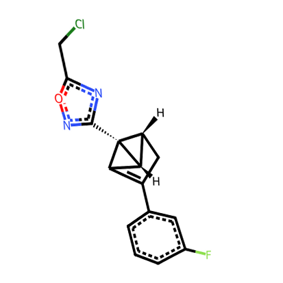 Fc1cccc(C2=C3[C@H]4[C@@H](C2)[C@]34c2noc(CCl)n2)c1